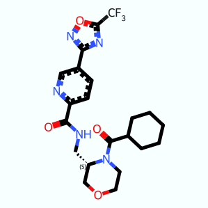 O=C(NC[C@H]1COCCN1C(=O)C1CCCCC1)c1ccc(-c2noc(C(F)(F)F)n2)cn1